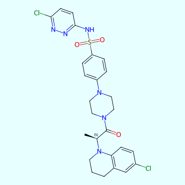 C[C@@H](C(=O)N1CCN(c2ccc(S(=O)(=O)Nc3ccc(Cl)nn3)cc2)CC1)N1CCCc2cc(Cl)ccc21